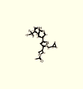 CC(=O)N1CC(c2cc(-c3cnc4[nH]cc(C(F)(F)F)c4c3)nn2CC2CC2)C1